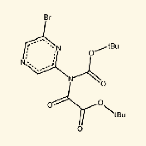 CC(C)(C)OC(=O)C(=O)N(C(=O)OC(C)(C)C)c1cncc(Br)n1